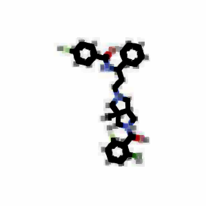 O=C(NC(CCN1CC2CN(C(=O)c3c(F)cccc3Cl)C[C@@H]2C1)c1ccccc1)c1ccc(F)cc1